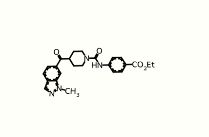 CCOC(=O)c1ccc(NC(=O)N2CCC(C(=O)c3ccc4cnn(C)c4c3)CC2)cc1